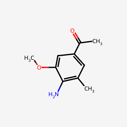 COc1cc(C(C)=O)cc(C)c1N